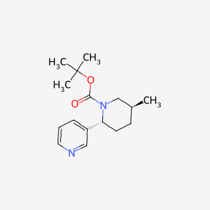 C[C@H]1CC[C@H](c2cccnc2)N(C(=O)OC(C)(C)C)C1